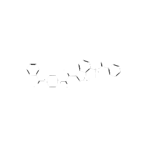 O=C(Nc1cccc2c(C(=O)C(=O)N3CCN(C(=O)c4ccccc4)CC3)c[nH]c12)c1ccccc1